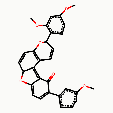 COc1cccc(C2=CC=C3OC4C=CC5=C(C=CC(c6ccc(OC)cc6OC)O5)C4=C3C2=O)c1